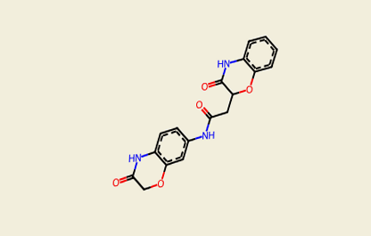 O=C(CC1Oc2ccccc2NC1=O)Nc1ccc2c(c1)OCC(=O)N2